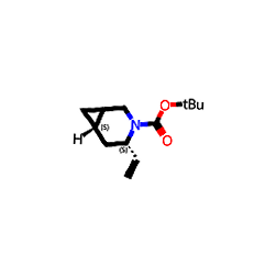 C=C[C@@H]1C[C@@H]2CC2CN1C(=O)OC(C)(C)C